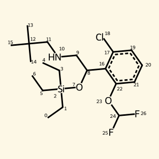 CC[Si](CC)(CC)OC(CNCC(C)(C)C)c1c(Cl)cccc1OC(F)F